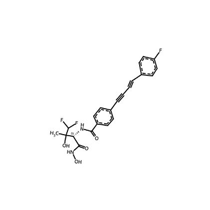 CC(O)(C(F)F)[C@H](NC(=O)c1ccc(C#CC#Cc2ccc(F)cc2)cc1)C(=O)NO